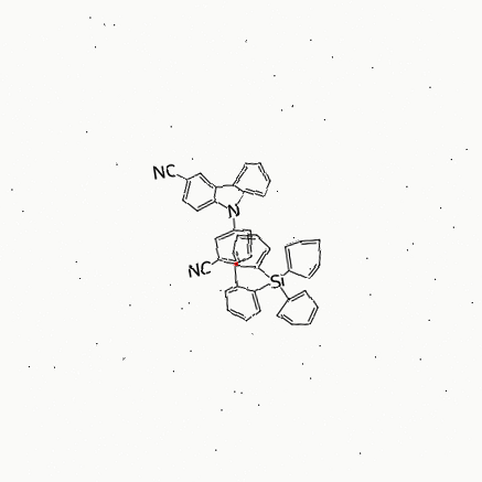 N#Cc1ccc2c(c1)c1ccccc1n2-c1ccc(-c2ccccc2[Si](c2ccccc2)(c2ccccc2)c2ccccc2)c(C#N)c1